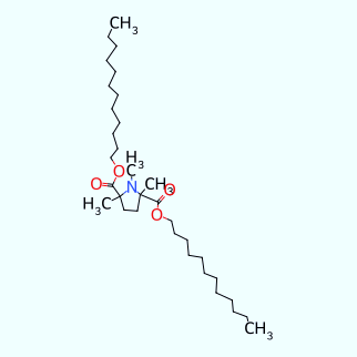 CCCCCCCCCCCCOC(=O)C1(C)CCC(C)(C(=O)OCCCCCCCCCCCC)N1C